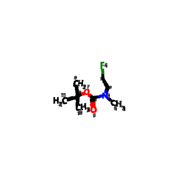 CN(CCF)C(=O)OC(C)(C)C